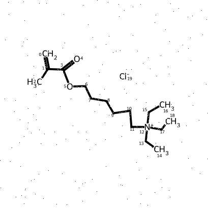 C=C(C)C(=O)OCCCCCC[N+](CC)(CC)CC.[Cl-]